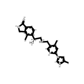 Cc1cn(-c2cc(C)c(CNC[C@H](O)c3ccc4c(c3C)COC4=O)cn2)cn1